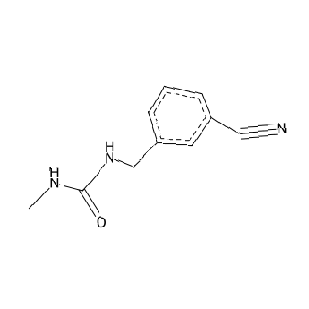 CNC(=O)NCc1cccc(C#N)c1